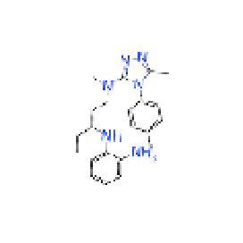 CCC(CCN(C)c1nnc(C)n1-c1ccc(C)cc1)Nc1ccccc1N